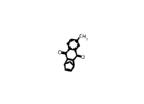 Cc1ccc2c(c1)C(=O)C1C3C=CC(C3)C1C2=O